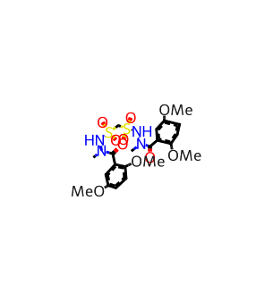 COc1ccc(OC)c(C(=O)N(C)NS(=O)(=O)CS(=O)(=O)NN(C)C(=O)c2cc(OC)ccc2OC)c1